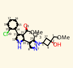 COCC1(O)CC(n2ncc(-c3[nH]cc(-c4ccccc4Cl)c3C(=O)OC)c2C(F)(F)F)C1